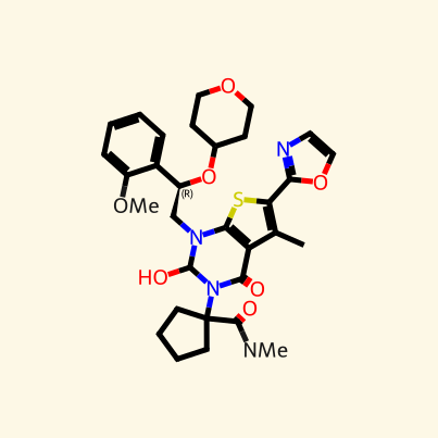 CNC(=O)C1(N2C(=O)c3c(sc(-c4ncco4)c3C)N(C[C@H](OC3CCOCC3)c3ccccc3OC)C2O)CCCC1